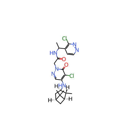 CC(NC(=O)Cn1ncc(N[C@@H]2C[C@@H]3C[C@H]([C@H]2C)C3(C)C)c(Cl)c1=O)c1ccnnc1Cl